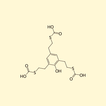 O=C(O)SCCc1cc(CCSC(=O)O)c(O)c(CCSC(=O)O)c1